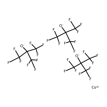 [Co+3].[O-]C(C(F)(F)F)(C(F)(F)F)C(F)(F)F.[O-]C(C(F)(F)F)(C(F)(F)F)C(F)(F)F.[O-]C(C(F)(F)F)(C(F)(F)F)C(F)(F)F